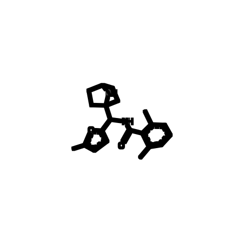 Cc1ccc(C(NC(=O)c2c(C)cccc2C)C23CCC(CC2)N3)o1